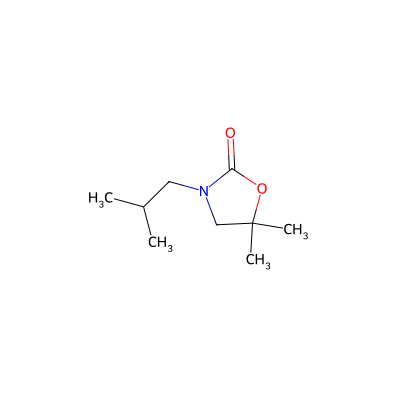 CC(C)CN1CC(C)(C)OC1=O